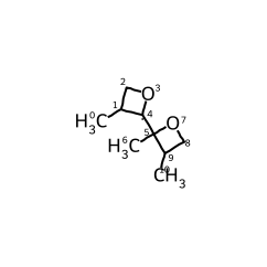 CC1CO[C]1C1(C)OCC1C